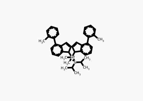 Cc1ccccc1-c1cccc2c1C=C[CH]2[Hf]([CH3])([CH3])([CH]1C=Cc2c(-c3ccccc3C)cccc21)=[Si](C(C)C)C(C)C